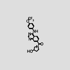 O=C(c1ccc2c(Nc3ccc(OC(F)(F)F)cc3)ncnc2c1)N1CCC(O)C1